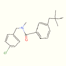 CN(Cc1ccc(Cl)cc1)C(=O)c1cccc(CC(C)(C)C)c1